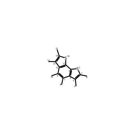 Cc1sc2c(c1C)c(C)c(C)c1c(C)c(C)sc12